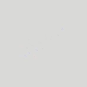 Cc1c(-c2csc(-c3cccnc3)c2)c(F)cn2c(=O)n(N)c(=O)c(C3CC3)c12